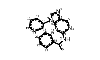 CC(Nc1ncc2ncn(-c3cccnc3)c2n1)c1ccccc1